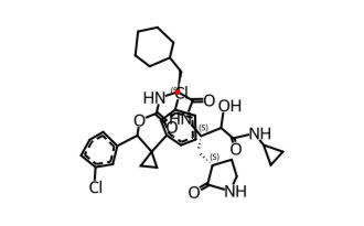 O=C(N[C@@H](CC1CCCCC1)C(=O)N[C@@H](C[C@@H]1CCNC1=O)C(O)C(=O)NC1CC1)OC(c1cccc(Cl)c1)C1(c2cccc(Cl)c2)CC1